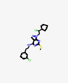 CSc1nc(NCCc2cccc(Cl)c2)c2cnn(CC(Cl)c3ccccc3)c2n1